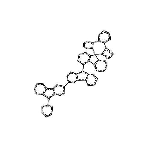 c1ccc(-n2c3ccccc3c3cc(-c4ccc5c(c4)c4ccccc4n5-c4cccc5c4-c4ccccc4C54c5ccccc5-c5ccccc5-c5ccccc54)ccc32)cc1